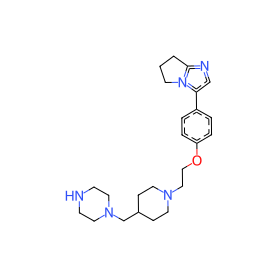 c1cc(-c2cnc3n2CCC3)ccc1OCCN1CCC(CN2CCNCC2)CC1